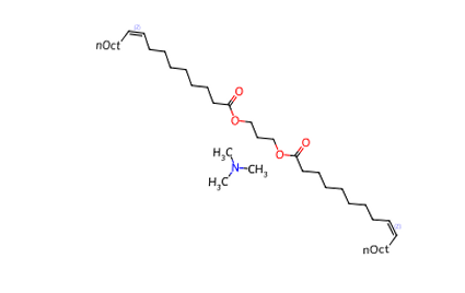 CCCCCCCC/C=C\CCCCCCCC(=O)OCCCOC(=O)CCCCCCC/C=C\CCCCCCCC.CN(C)C